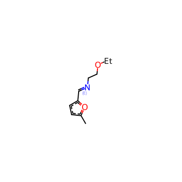 CCOCC/N=C/c1ccc(C)o1